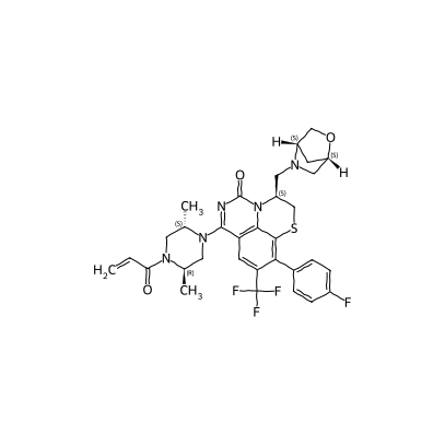 C=CC(=O)N1C[C@H](C)N(c2nc(=O)n3c4c(c(-c5ccc(F)cc5)c(C(F)(F)F)cc24)SC[C@@H]3CN2C[C@@H]3C[C@H]2CO3)C[C@H]1C